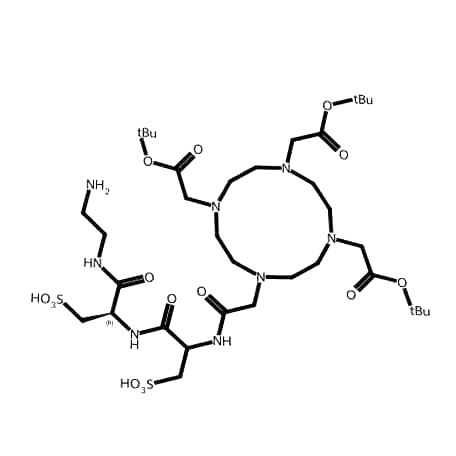 CC(C)(C)OC(=O)CN1CCN(CC(=O)NC(CS(=O)(=O)O)C(=O)N[C@@H](CS(=O)(=O)O)C(=O)NCCN)CCN(CC(=O)OC(C)(C)C)CCN(CC(=O)OC(C)(C)C)CC1